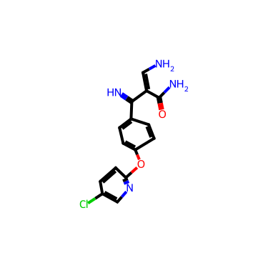 N=C(/C(=C/N)C(N)=O)c1ccc(Oc2ccc(Cl)cn2)cc1